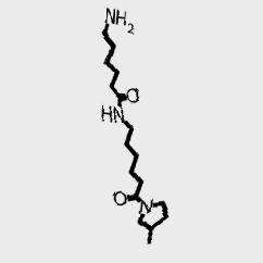 CC1CCN(C(=O)CCCCCNC(=O)CCCCCN)C1